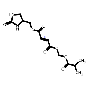 CC(C)C(=O)OCOC(=O)/C=C/C(=O)OCC1CNC(=O)N1